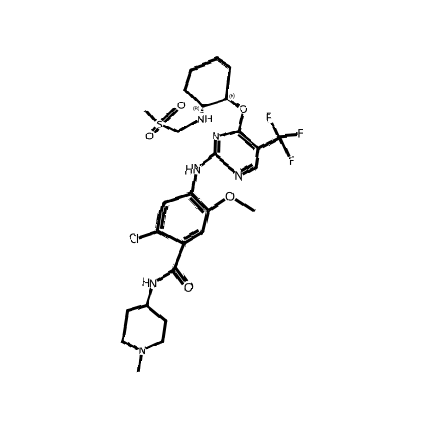 COc1cc(C(=O)NC2CCN(C)CC2)c(Cl)cc1Nc1ncc(C(F)(F)F)c(O[C@@H]2CCCC[C@H]2NCS(C)(=O)=O)n1